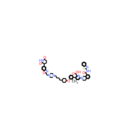 Cc1c(OC2CCC(CCCCN3CCN(Cc4nc5cc(C6CCC(=O)NC6=O)ccc5o4)CC3)CC2)cccc1-c1ccc(N2CCc3cccc(C(=O)Nc4nc5ccccc5s4)c3C2)nc1C(=O)O